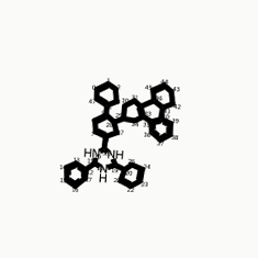 C1=CCCC(C2=CC=C(C3NC(c4ccccc4)NC(C4C=CC=CC4)N3)CC2C2CCC3=C(C2)c2ccccc2C2CCC=CC32)=C1